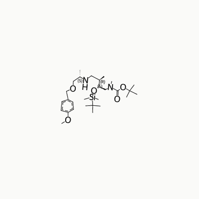 COc1ccc(COC[C@H](C)NC[C@@H](C)[C@@H](CN(C)C(=O)OC(C)(C)C)O[Si](C)(C)C(C)(C)C)cc1